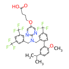 COc1ccc(C(C)C)cc1-c1ccc(C(F)(F)F)cc1CN(Cc1cc(C(F)(F)F)cc(C(F)(F)F)c1)c1ncc(OCCCC(=O)O)cn1